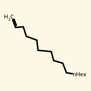 [CH2]CCCCCCCCCCCCCC=C